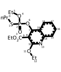 CCCSP(=O)(OCC)Oc1c(C(=O)OCC)c(OCC)nc2ccccc12